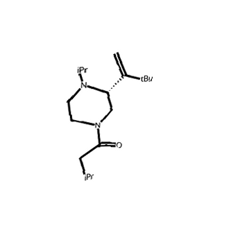 C=C([C@@H]1CN(C(=O)CC(C)C)CCN1C(C)C)C(C)(C)C